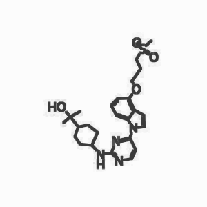 CC(C)(O)C1CCC(Nc2nccc(-n3ccc4c(OCCCS(C)(=O)=O)cccc43)n2)CC1